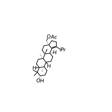 CC(=O)OC[C@]12CCC(C(C)C)=C1[C@H]1CC[C@@H]3[C@@]4(C)CC[C@H](O)C(C)(C)[C@@H]4CC[C@@]3(C)[C@]1(C)CC2